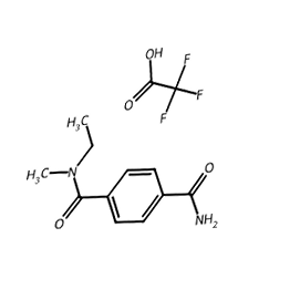 CCN(C)C(=O)c1ccc(C(N)=O)cc1.O=C(O)C(F)(F)F